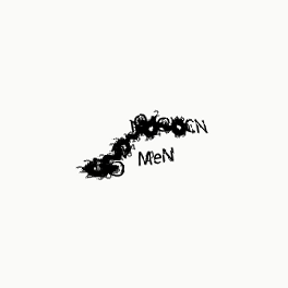 CNC.Cc1c(OCc2ccc(C#N)cc2)ccc2c(CCC3CCN(CCn4ccccc4=O)CC3)noc12